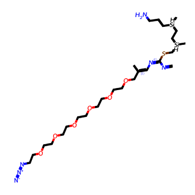 C=N/C(=N\C=C(/C)COCCOCCOCCOCCOCCOCCN=[N+]=[N-])SC[SiH](C)CC[SiH](C)CCCN